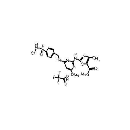 CCNS(=O)(=O)c1ccc(CNc2cc(OC)nc(Nc3nc(C)c(C(=O)OC)s3)n2)cc1.O=C(O)C(F)(F)F